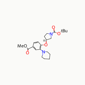 COC(=O)c1ccc(O[C@H]2CCN(C(=O)OC(C)(C)C)C2)c(N2CCCCC2)c1